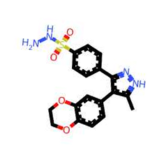 Cc1[nH]nc(-c2ccc(S(=O)(=O)NN)cc2)c1-c1ccc2c(c1)OCCO2